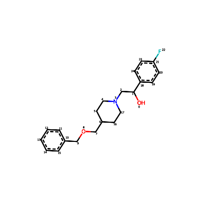 OC(CN1CCC(COCc2ccccc2)CC1)c1ccc(F)cc1